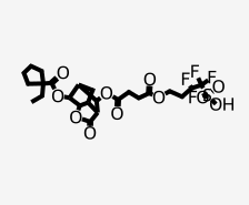 CCC1(C(=O)OC2C3CC4C2OC(=O)C4C3OC(=O)CCC(=O)OCCC(F)(F)C(F)(F)S(=O)(=O)O)CCCC1